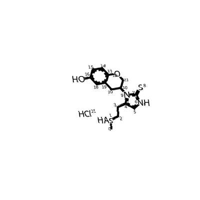 C[AsH]CCc1c[nH]c(=S)n1C1COc2ccc(O)cc2C1.Cl